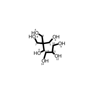 OCC(CO)(CO)CO.OCC(O)CO